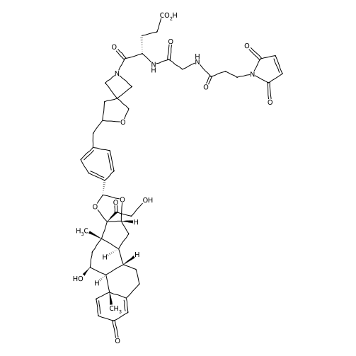 C[C@]12C=CC(=O)C=C1CC[C@@H]1[C@@H]2[C@@H](O)C[C@@]2(C)[C@H]1C[C@H]1O[C@@H](c3ccc(CC4CC5(CO4)CN(C(=O)[C@H](CCC(=O)O)NC(=O)CNC(=O)CCN4C(=O)C=CC4=O)C5)cc3)O[C@]12C(=O)CO